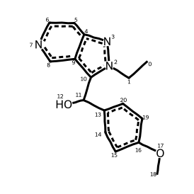 CCn1nc2ccncc2c1C(O)c1ccc(OC)cc1